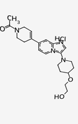 CC(=O)N1CC=C(c2ccn3c(N4CCC(OCCO)CC4)cnc3c2)CC1.Cl